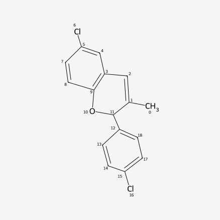 CC1=Cc2cc(Cl)ccc2OC1c1ccc(Cl)cc1